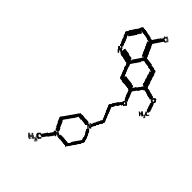 COc1cc2c(Cl)ccnc2cc1OCCN1CCN(C)CC1